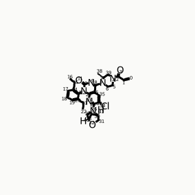 C=CC(=O)N1CCN(c2nc(=O)n(-c3c(CC)cccc3CC)c3nc(N4C[C@H]5C[C@@H]4CO5)c(Cl)cc23)[C@@H](C)C1